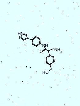 NCC(C(=O)Nc1ccc(-c2cn[nH]c2)cc1)c1ccc(CO)cc1